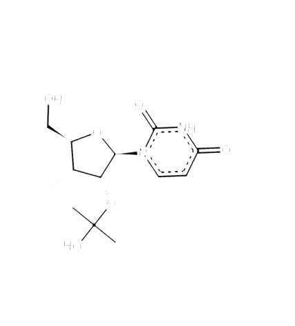 C[C@H]1[C@@H](OC(C)(C)O)[C@H](n2ccc(=O)[nH]c2=O)O[C@@H]1CO